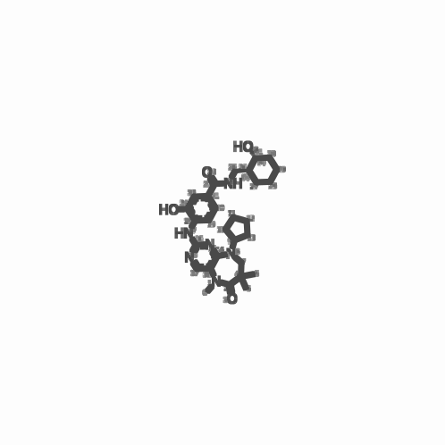 CN1C(=O)C(C)(C)CN(C2CCCC2)c2nc(Nc3ccc(C(=O)NC[C@@H]4CCCC[C@H]4O)cc3O)ncc21